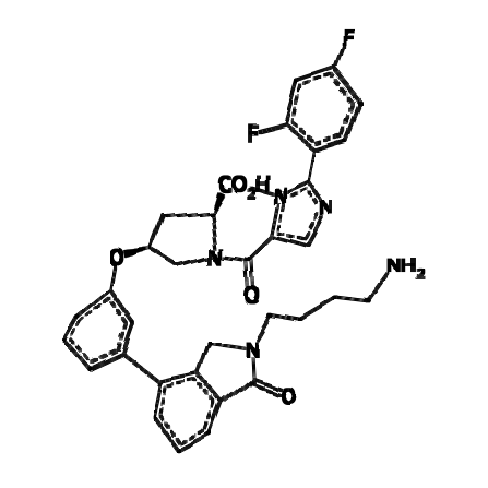 Cn1c(C(=O)N2C[C@@H](Oc3cccc(-c4cccc5c4CN(CCCCN)C5=O)c3)C[C@H]2C(=O)O)cnc1-c1ccc(F)cc1F